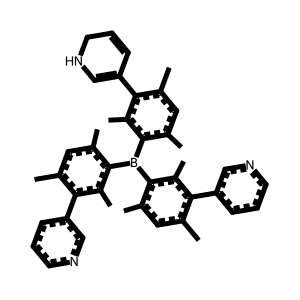 Cc1cc(C)c(C2=CNCC=C2)c(C)c1B(c1c(C)cc(C)c(-c2cccnc2)c1C)c1c(C)cc(C)c(-c2cccnc2)c1C